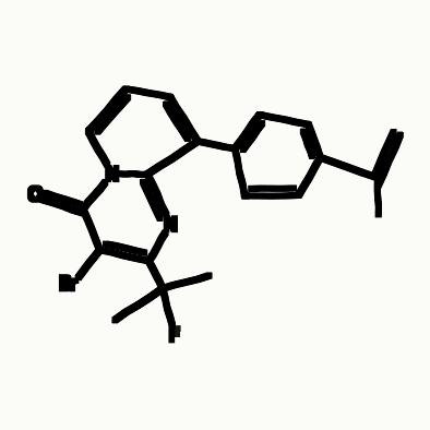 C=C(C)c1ccc(-c2cccn3c(=O)c(Br)c(C(C)(C)F)nc23)cc1